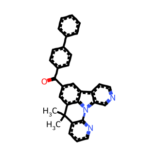 CC1(C)c2cccnc2-n2c3cnccc3c3cc(C(=O)c4ccc(-c5ccccc5)cc4)cc1c32